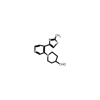 Cc1nc(-c2ccncc2N2CCC(C=O)CC2)cs1